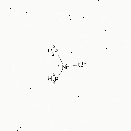 [PH2][Ni]([PH2])[Cl]